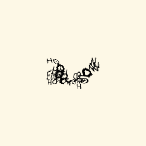 CC[C@H]1[C@@H](O)[C@@H]2[C@H](CC[C@]3(C)[C@@H]([C@H](C)COC(=O)NS(=O)(=O)c4ccc(-n5cnnn5)cc4)CC[C@@H]23)[C@@]2(C)CC[C@@H](O)C[C@@H]12